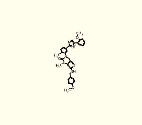 COc1ccc(CNc2ncc3c(n2)N(C)C(=O)N(c2cc(-c4ncc(-c5ccccc5OC)[nH]4)ccc2C)C3)cc1